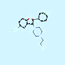 COc1ccc2oc(-c3ccccc3)c(N3CCN(CCO)CC3)c2c1.Cl